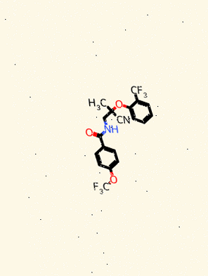 CC(C#N)(CNC(=O)c1ccc(OC(F)(F)F)cc1)Oc1ccccc1C(F)(F)F